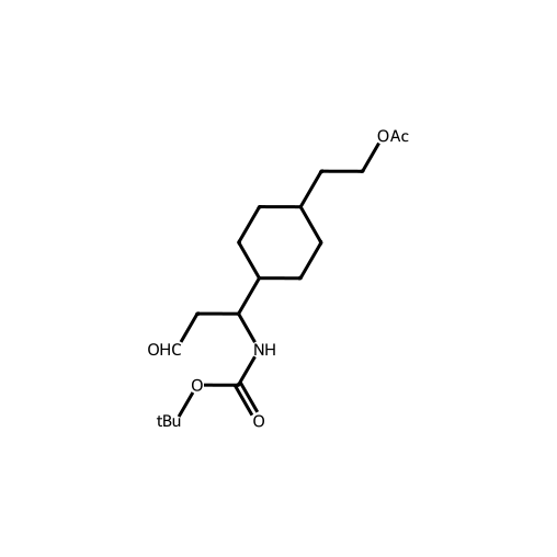 CC(=O)OCCC1CCC(C(CC=O)NC(=O)OC(C)(C)C)CC1